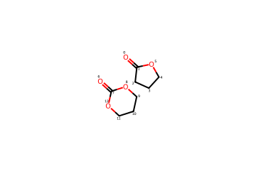 O=C1CCCO1.O=C1OCCCO1